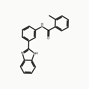 Cc1ccccc1C(=O)Nc1cccc(-c2nc3ccccc3[nH]2)c1